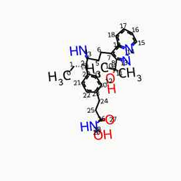 CC[C@H](C(=N)CCc1c(C(C)(C)O)nn2ccccc12)c1ccc(CCC(=O)NO)cc1